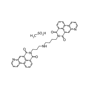 CS(=O)(=O)O.O=C1c2cccc3c2c(cc2ncccc23)C(=O)N1CCCCNCCCN1C(=O)c2cccc3c2c(cc2ncccc23)C1=O